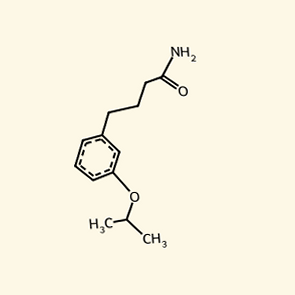 CC(C)Oc1cccc(CCCC(N)=O)c1